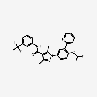 Cc1nn(-c2ccc(OC(F)F)c(-c3ccccn3)c2)c(C)c1C(=O)Nc1cccc(C(C)(F)F)c1